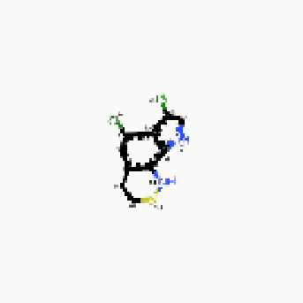 Clc1c[nH]c2c3c(cc(Cl)c12)CCSN3